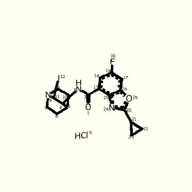 Cl.O=C(NC1C2CCN(CC2)C1I)c1cc(F)cc2oc(C3CC3)nc12